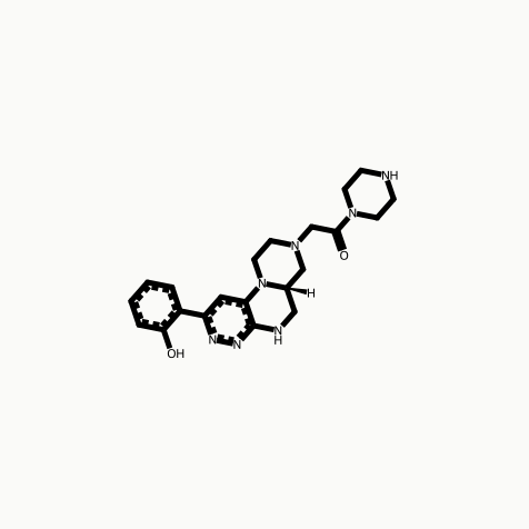 O=C(CN1CCN2c3cc(-c4ccccc4O)nnc3NC[C@H]2C1)N1CCNCC1